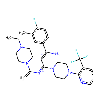 C=C(/N=C(\C=C(/N)c1ccc(F)c(C)c1)N1CCN(c2ncccc2C(F)(F)F)CC1)N1CCN(CC)CC1